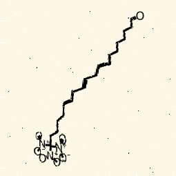 O=[C]CCCCCCC=CCC=CCC=CCCCCC([N+](=O)[O-])([N+](=O)[O-])[N+](=O)[O-]